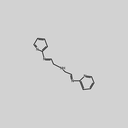 C(CNCC=Nc1ccccn1)=Nc1ccccn1